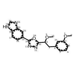 COc1cccc(CC(OC)c2nnc(-c3ccc4[nH]cnc4c3)o2)c1